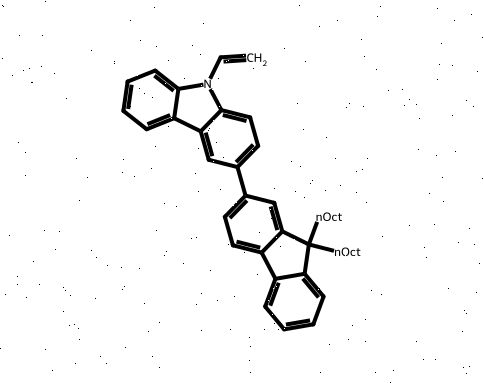 C=Cn1c2ccccc2c2cc(-c3ccc4c(c3)C(CCCCCCCC)(CCCCCCCC)c3ccccc3-4)ccc21